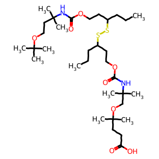 CCCC(CCOC(=O)NC(C)(C)CCOC(C)(C)C)SSC(CCC)CCOC(=O)NC(C)(C)COC(C)(C)CCC(=O)O